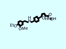 CCOc1ccc(CCNCc2ccc(-c3ccc(C(=O)NO)o3)cc2)cc1OC